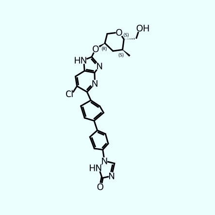 C[C@H]1C[C@@H](Oc2nc3nc(-c4ccc(-c5ccc(-n6cnc(=O)[nH]6)cc5)cc4)c(Cl)cc3[nH]2)CO[C@@H]1CO